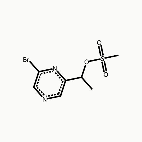 CC(OS(C)(=O)=O)c1cncc(Br)n1